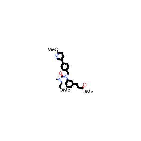 COCCN(C)C(=O)N(Cc1ccc(-c2ccc(OC)nc2)cc1)c1cccc(/C=C/C(=O)OC)c1